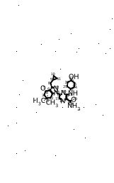 CC1(C)CC(=O)c2c(CC3CC3)nn(-c3cnc(C(N)=O)c(NC4CCC(O)CC4)n3)c2C1